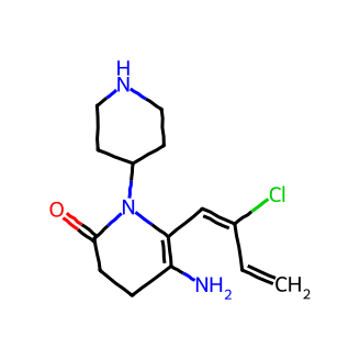 C=C/C(Cl)=C\C1=C(N)CCC(=O)N1C1CCNCC1